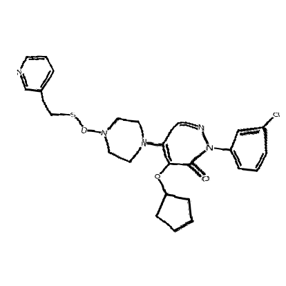 O=c1c(OC2CCCC2)c(N2CCN(OSCc3cccnc3)CC2)cnn1-c1cccc(Cl)c1